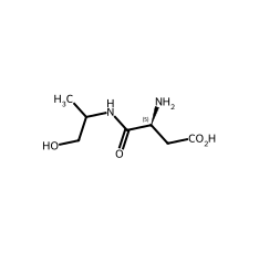 CC(CO)NC(=O)[C@@H](N)CC(=O)O